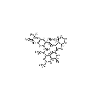 Cc1cc(C(C)Nc2ccccc2C(=O)NO)c2oc(N3Cc4ccccc4C3)cc(=O)c2c1.O=C(O)C(F)(F)F